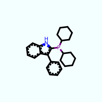 c1ccc(-c2c(P(C3CCCCC3)C3CCCCC3)[nH]c3ccccc23)cc1